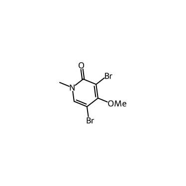 COc1c(Br)cn(C)c(=O)c1Br